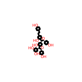 Oc1ccc(/C=C/c2cc(O)c3c(c2)O[C@H](c2ccc(O)cc2)[C@H]3c2cc(O)c3c(c2)O[C@H](c2ccc(O)cc2)[C@H]3c2cc(O)cc(O)c2)cc1